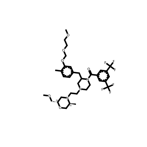 COCCOCOc1cc(CC2CN(CCN3C[C@@H](COC)OC[C@@H]3C)CCN2C(=O)c2cc(C(F)(F)F)cc(C(F)(F)F)c2)ccc1C